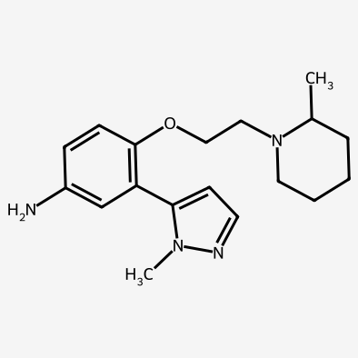 CC1CCCCN1CCOc1ccc(N)cc1-c1ccnn1C